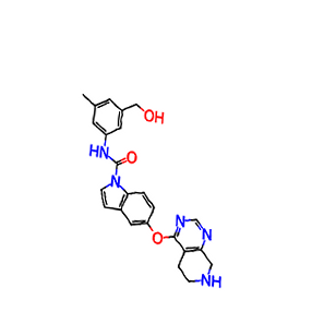 Cc1cc(CO)cc(NC(=O)n2ccc3cc(Oc4ncnc5c4CCNC5)ccc32)c1